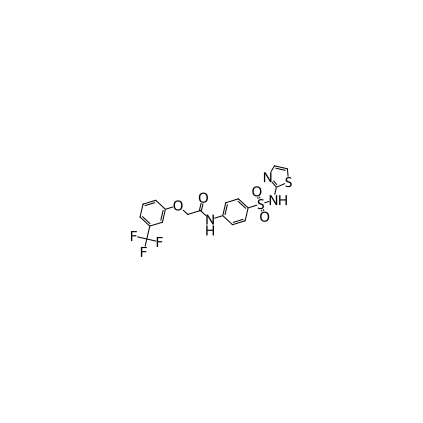 O=C(COc1cccc(C(F)(F)F)c1)Nc1ccc(S(=O)(=O)Nc2nccs2)cc1